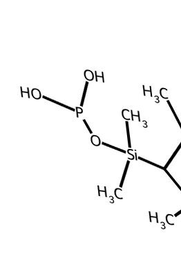 CCC(CC)[Si](C)(C)OP(O)O